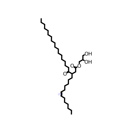 CCCCCC/C=C\CCCCCC(CC(=O)OCC(O)CO)C(=O)CCCCCCCCCCCCCCCCC